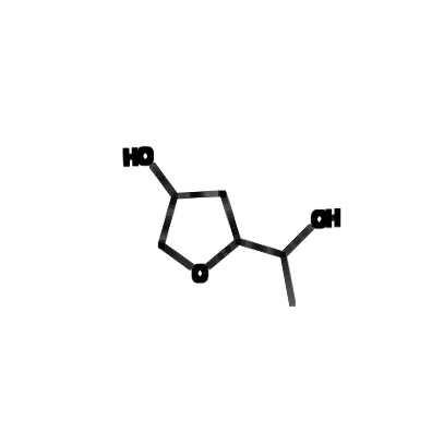 CC(O)C1CC(O)CO1